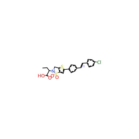 CCC(C(=O)O)N1Cc2sc(-c3ccc(/C=C/c4ccc(Cl)cc4)cc3)cc2S1(=O)=O